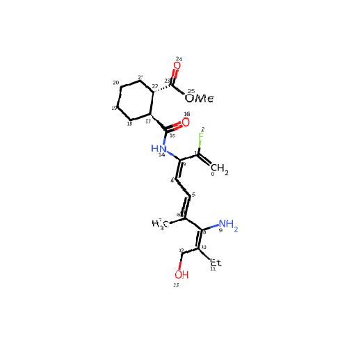 C=C(F)\C(=C/C=C(C)/C(N)=C(/CC)CO)NC(=O)[C@H]1CCCC[C@@H]1C(=O)OC